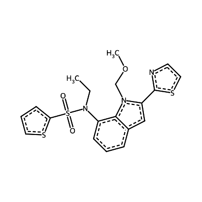 CCN(c1cccc2cc(-c3nccs3)n(COC)c12)S(=O)(=O)c1cccs1